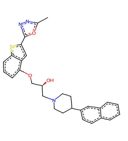 Cc1nnc(-c2cc3c(OC[C@@H](O)CN4CCC(c5ccc6ccccc6c5)CC4)cccc3s2)o1